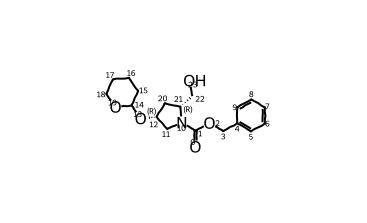 O=C(OCc1ccccc1)N1C[C@H](OC2CCCCO2)C[C@@H]1CO